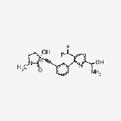 CN1CC[C@@](O)(C#Cc2cccc(-c3nc(C(N)O)ccc3C(F)F)c2)C1=O